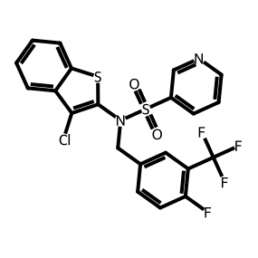 O=S(=O)(c1cccnc1)N(Cc1ccc(F)c(C(F)(F)F)c1)c1sc2ccccc2c1Cl